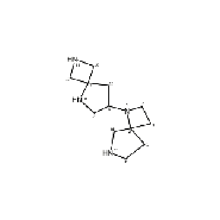 C1CC2(CCN2C2CNC3(CNC3)C2)CN1